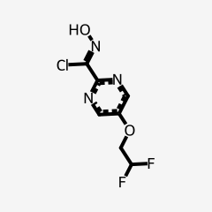 O/N=C(\Cl)c1ncc(OCC(F)F)cn1